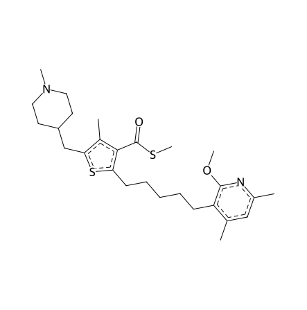 COc1nc(C)cc(C)c1CCCCCc1sc(CC2CCN(C)CC2)c(C)c1C(=O)SC